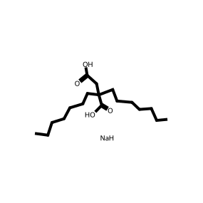 CCCCCCCC(CCCCCCC)(CC(=O)O)C(=O)O.[NaH]